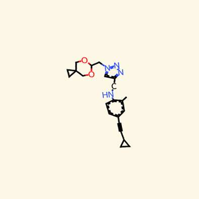 Cc1cc(C#CC2CC2)ccc1NCc1cn(CC2OCC3(CC3)CO2)nn1